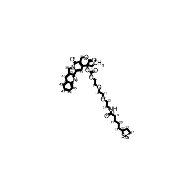 CCC1(OC(=O)OCCOCCOCCNC(=O)CCCCC2CCSS2)C(=O)OCc2c1cc1n(c2=O)Cc2cc3ccccc3nc2-1